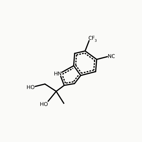 [C-]#[N+]c1cc2cc(C(C)(O)CO)[nH]c2cc1C(F)(F)F